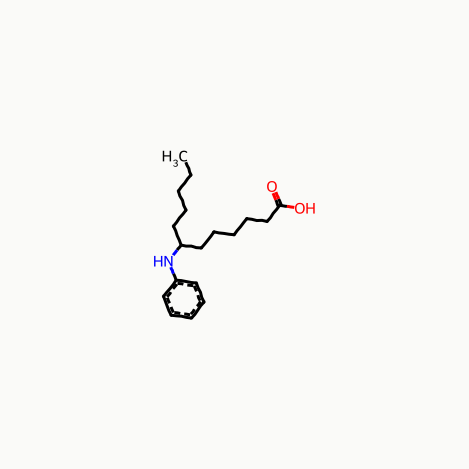 CCCCCC(CCCCCC(=O)O)Nc1ccccc1